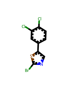 Clc1ccc(-c2cnc(Br)s2)cc1Cl